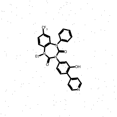 CCN1C(=O)N(c2ccc(-c3ccncc3)c(O)c2)C(=O)N(c2ccccc2)c2cc(C(F)(F)F)ccc21